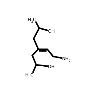 CC(O)CC(=CCN)CC(C)O